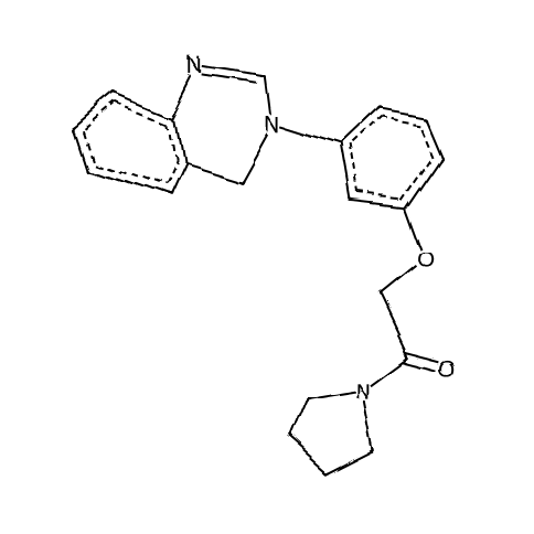 O=C(COc1cccc(N2C=Nc3ccccc3C2)c1)N1CCCC1